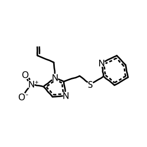 C=CCn1c([N+](=O)[O-])cnc1CSc1ccccn1